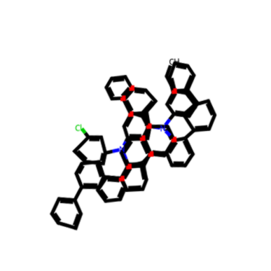 CCc1cccc(N(c2cc(-c3ccccc3)cc(N(c3cccc(Cl)c3)c3c(-c4cccc(-c5ccccc5)c4)cccc3-c3cccc(-c4ccccc4)c3)c2)c2c(-c3cccc(-c4ccccc4)c3)cccc2-c2cccc(-c3ccccc3)c2)c1